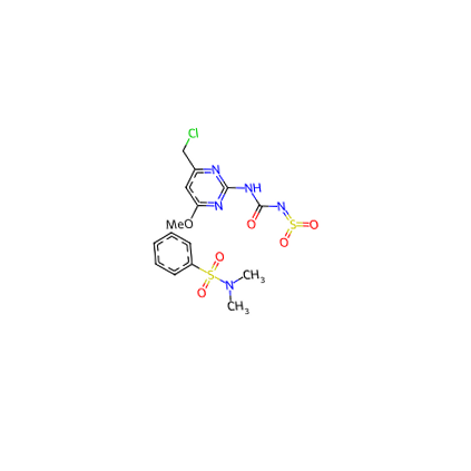 CN(C)S(=O)(=O)c1ccccc1.COc1cc(CCl)nc(NC(=O)N=S(=O)=O)n1